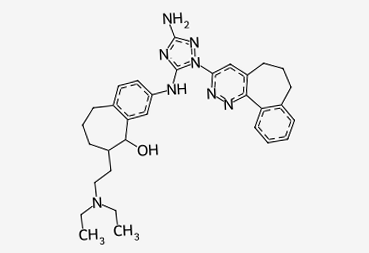 CCN(CC)CCC1CCCc2ccc(Nc3nc(N)nn3-c3cc4c(nn3)-c3ccccc3CCC4)cc2C1O